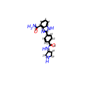 NC(=O)c1cccc2[nH]c(-c3ccc(C(=O)N[C@H]4CCNC4)cc3)nc12